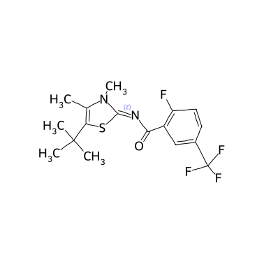 Cc1c(C(C)(C)C)s/c(=N\C(=O)c2cc(C(F)(F)F)ccc2F)n1C